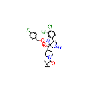 CN(C(=O)OCc1ccc(F)cc1)[C@@]1(C(=O)C2CCN(C(=O)C3(C)CC3)CC2)CNC[C@@H]1c1ccc(Cl)c(Cl)c1